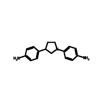 Nc1ccc(C2CCN(c3ccc(N)cc3)C2)cc1